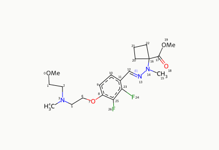 COCCN(C)CCOc1ccc(/C=N/N(C)C2(C(=O)OC)CCC2)c(F)c1F